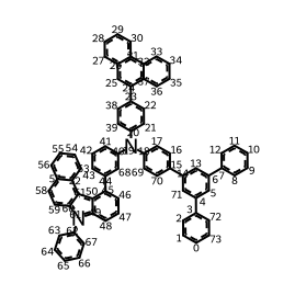 c1ccc(-c2cc(-c3ccccc3)cc(-c3ccc(N(c4ccc(-c5cc6ccccc6c6ccccc56)cc4)c4cccc(-c5cccc6c5c5c7ccccc7ccc5n6-c5ccccc5)c4)cc3)c2)cc1